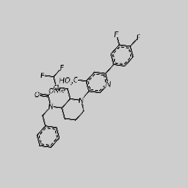 COC(=O)N(Cc1ccccc1)C1CCCN(c2cnc(-c3ccc(F)c(F)c3)cc2C(=O)O)C1COC(F)F